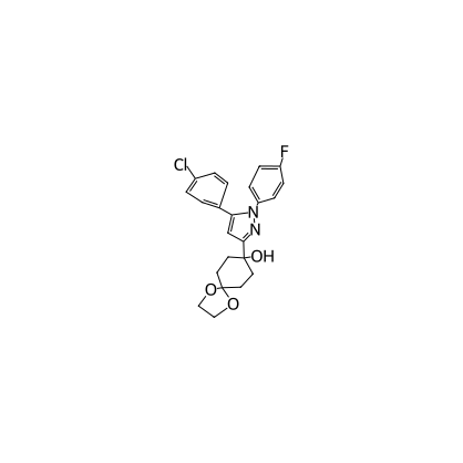 OC1(c2cc(-c3ccc(Cl)cc3)n(-c3ccc(F)cc3)n2)CCC2(CC1)OCCO2